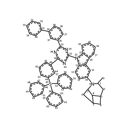 CC1CC2CC3CC(C23)N1c1ccc2c(c1)c1ccccc1n2-c1nc(-c2cccc(-c3ccccc3)c2)nc(-c2cccc(S(c3ccccc3)(c3ccccc3)c3ccccc3)c2)n1